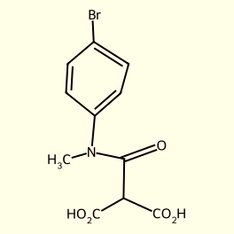 CN(C(=O)C(C(=O)O)C(=O)O)c1ccc(Br)cc1